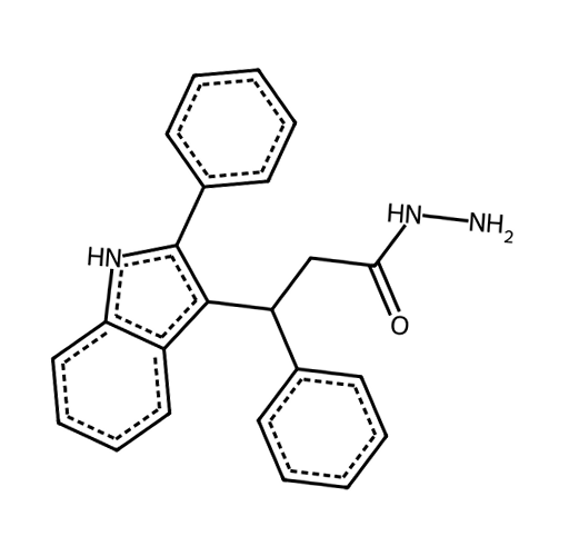 NNC(=O)CC(c1ccccc1)c1c(-c2ccccc2)[nH]c2ccccc12